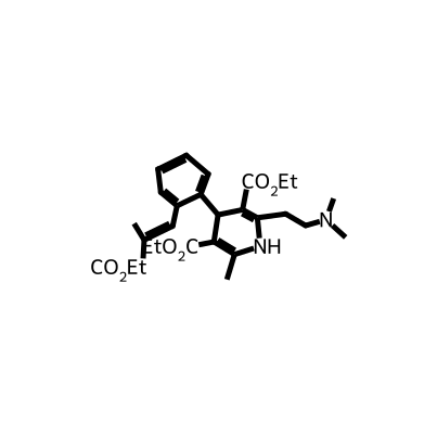 CCOC(=O)C(C)=Cc1ccccc1C1C(C(=O)OCC)=C(C)NC(CCN(C)C)=C1C(=O)OCC